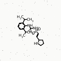 CC(C)c1cccc(C(C)C)c1NC(=O)NS(=O)(=O)C=CC1CCCN1